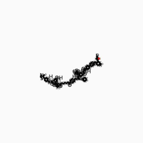 Cc1ncsc1-c1ccc([C@H](C)NC(=O)[C@@H]2C[C@@H](O)CN2C(=O)C(NC(=O)CCCCCC(=O)N2CCN(CC[C@H](CSc3ccccc3)Nc3ccc(S(=O)(=O)NC(=O)c4ccc(N5CCN(CC6=C(C78CC(F)(C7)C8)CC(C)(C)CC6)CC5)cc4)cc3S(=O)(=O)C(F)(F)F)CC2)C(C)(C)C)cc1